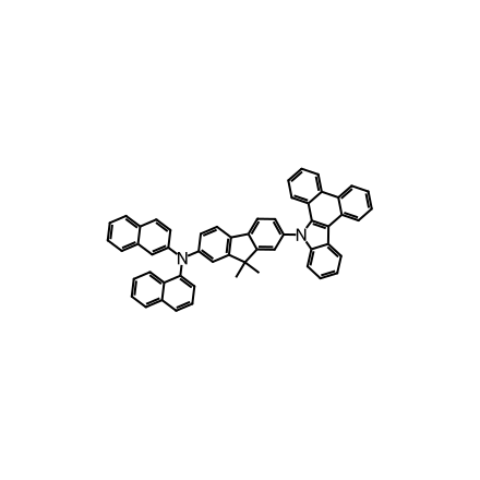 CC1(C)c2cc(N(c3ccc4ccccc4c3)c3cccc4ccccc34)ccc2-c2ccc(-n3c4ccccc4c4c5ccccc5c5ccccc5c43)cc21